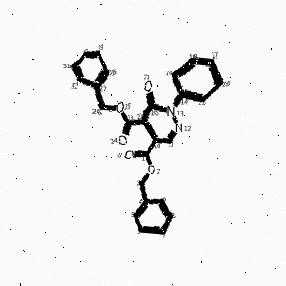 O=C(OCc1ccccc1)c1cnn(-c2ccccc2)c(=O)c1C(=O)OCc1ccccc1